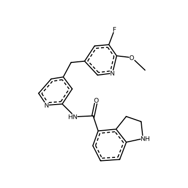 COc1ncc(Cc2ccnc(NC(=O)c3cccc4c3CCN4)c2)cc1F